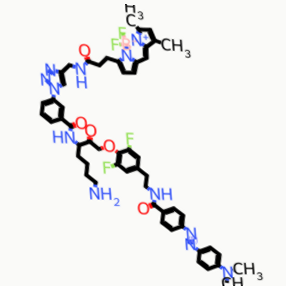 CC1=CC(C)=[N+]2C1=Cc1ccc(CCC(=O)NCc3cn(-c4cccc(C(=O)NC(CCCCN)C(=O)COc5c(F)cc(CCNC(=O)c6ccc(/N=N/c7ccc(N(C)C)cc7)cc6)cc5F)c4)nn3)n1[B-]2(F)F